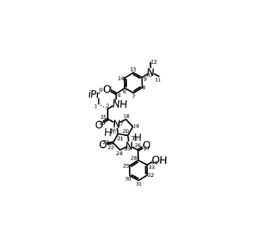 CC(C)C[C@H](NC(=O)c1ccc(N(C)C)cc1)C(=O)N1CC[C@@H]2[C@H]1C(=O)CN2C(=O)c1ccccc1O